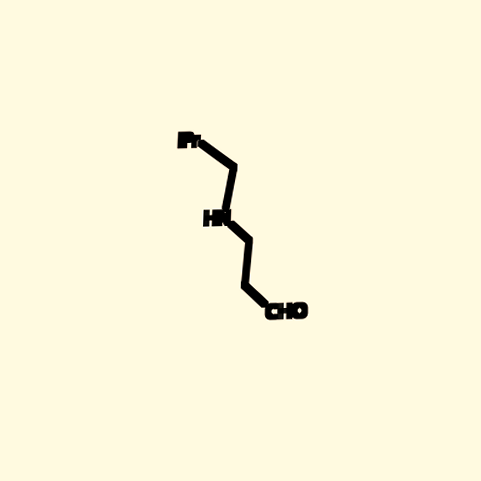 CC(C)CNCCC=O